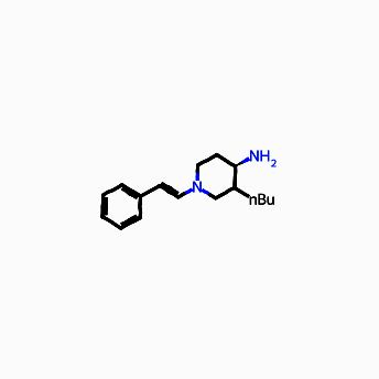 CCCCC1CN(C=Cc2ccccc2)CC[C@H]1N